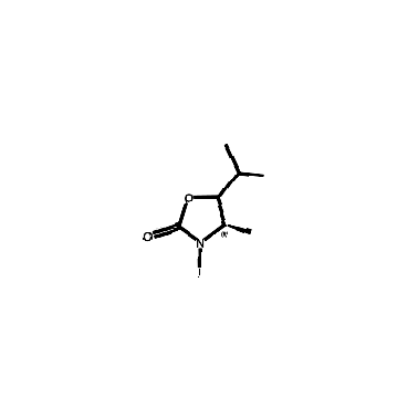 CC(C)C1OC(=O)N(I)[C@@H]1C